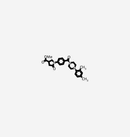 COC(=O)C1CC(=O)N(c2ccc(C(=O)N3CCN(c4ccc(C)cc4C)CC3)cc2)C1